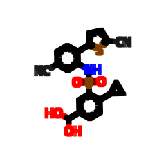 N#Cc1ccc(-c2ccc(C#N)s2)c(NS(=O)(=O)c2cc(C(O)O)ccc2C2CC2)c1